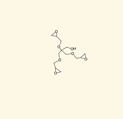 OCC(COCC1CO1)(COCC1CO1)OCC1CO1